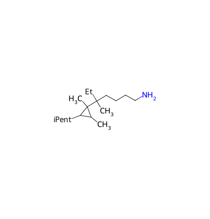 CCCC(C)C1C(C)C1(C)C(C)(CC)CCCCN